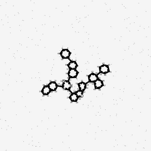 c1ccc(-c2ccc3ccc(-c4nc(-c5ccc6ccccc6c5)nc(-c5cccc6oc7cc(-c8ccc(-c9ccccc9)c9ccccc89)ccc7c56)n4)cc3c2)cc1